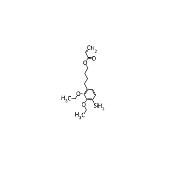 C=CC(=O)OCCCCc1ccc([SiH3])c(OCC)c1OCC